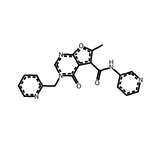 Cc1oc2ncn(Cc3ccccn3)c(=O)c2c1C(=O)Nc1cccnc1